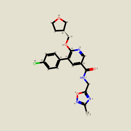 O=C(NCc1nc(C(F)(F)F)no1)c1cnc(OC[C@@H]2CCOC2)c(-c2ccc(Cl)cc2)c1